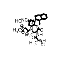 CCN[C@@H](C)C(=O)N[C@@H]1C(=O)N(Cc2c(C)ccc3ccccc23)c2ccc(C#N)cc2N(C(=O)CS(C)(=O)=O)[C@H]1C.Cl